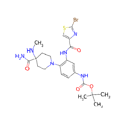 CNC1(C(N)=O)CCN(c2ccc(NC(=O)OC(C)(C)C)cc2NC(=O)c2csc(Br)n2)CC1